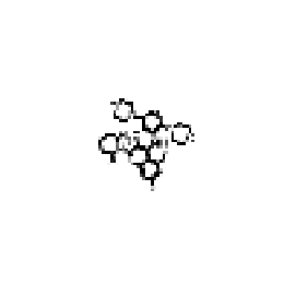 Cc1c(N2CCCCC2=O)nc2cc(F)cc(F)c2c1Nc1cc(N2CCOCC2)cnc1N1CCOCC1